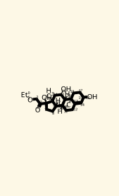 CCOCC(=O)[C@@]1(O)CC[C@H]2[C@@H]3CCC4=CC(O)CC[C@]4(C)[C@H]3[C@@H](O)C[C@@]21C